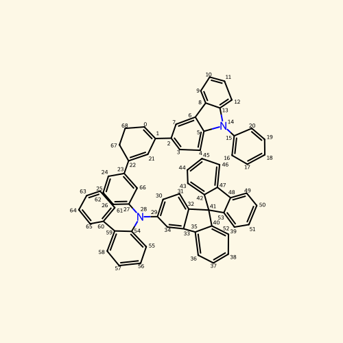 C1=C(c2ccc3c(c2)c2ccccc2n3-c2ccccc2)C=C(c2cccc(N(c3ccc4c(c3)-c3ccccc3C43c4ccccc4-c4ccccc43)c3ccccc3-c3ccccc3)c2)CC1